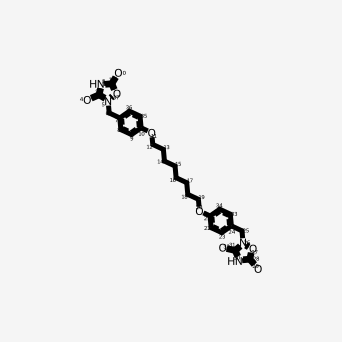 O=c1[nH]c(=O)n(Cc2ccc(OCCCCCCCCOc3ccc(Cn4oc(=O)[nH]c4=O)cc3)cc2)o1